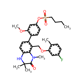 CCCCS(=O)(=O)Oc1ccc(-c2ccc3c(c2COc2cc(F)ccc2C)N(C)C(=O)C(C)(C)N3)c(OC)c1